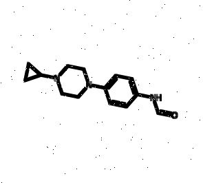 O=CNc1ccc(N2CCN(C3CC3)CC2)cc1